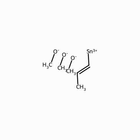 CC=[CH][Sn+3].C[O-].C[O-].C[O-]